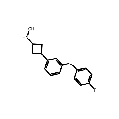 ONC1CC(c2cccc(Oc3ccc(F)cc3)c2)C1